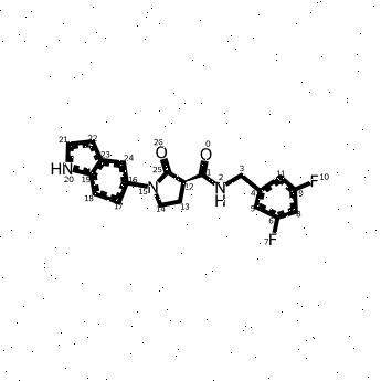 O=C(NCc1cc(F)cc(F)c1)[C@H]1CCN(c2ccc3[nH]ccc3c2)C1=O